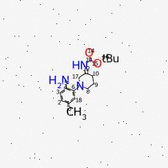 Cc1ccc(N)c(N2CCCC(NC(=O)OC(C)(C)C)C2)c1